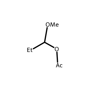 [C]OC(CC)OC(C)=O